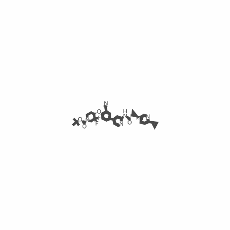 CC(C)(C)OC(=O)N1CC[C@H](Oc2ccc(-c3ccnc(NC(=O)[C@@H]4C[C@H]4c4ccc(C5CC5)nc4)c3)cc2C#N)C(F)(F)C1